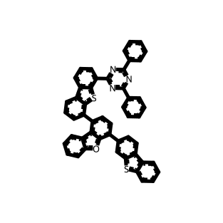 c1ccc(-c2nc(-c3ccccc3)nc(-c3cccc4c3sc3c(-c5ccc(-c6ccc7c(c6)sc6ccccc67)c6oc7ccccc7c56)cccc34)n2)cc1